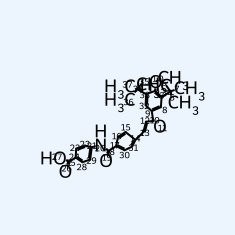 COc1c(C(C)(C)C)cc(C(=O)C=Cc2ccc(C(=O)Nc3ccc(C(=O)O)cc3)cc2)cc1C(C)(C)C